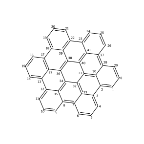 c1cc2c3cccc4c5cccc6c7cccc8c9cccc%10c%11cccc%12c(c1)c2c1c(c34)c(c56)c(c78)c(c%109)c1c%12%11